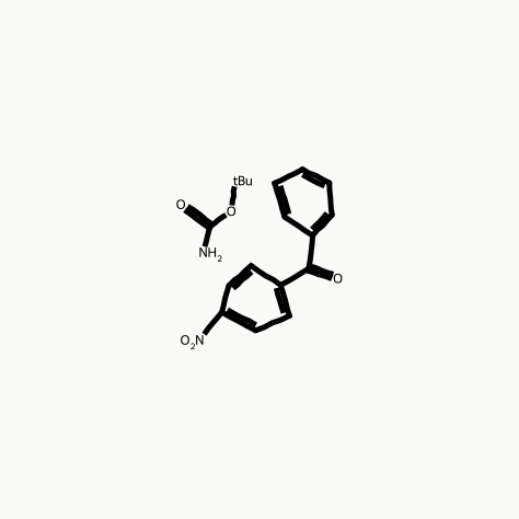 CC(C)(C)OC(N)=O.O=C(c1ccccc1)c1ccc([N+](=O)[O-])cc1